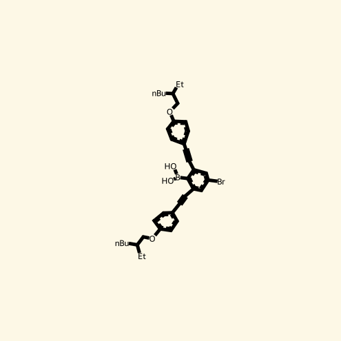 CCCCC(CC)COc1ccc(C#Cc2cc(Br)cc(C#Cc3ccc(OCC(CC)CCCC)cc3)c2B(O)O)cc1